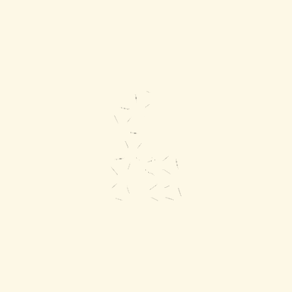 c1ccc2c(-c3nc(-n4c5ccc(-c6cccc7c6sc6ccccc67)cc5c5ccc6c7ccccc7oc6c54)nc4ccccc34)cccc2c1